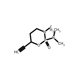 C#CC1CCN(C)P(=O)(N(C)C)O1